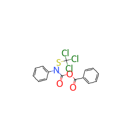 O=C(OC(=O)N(SC(Cl)(Cl)Cl)c1ccccc1)c1ccccc1